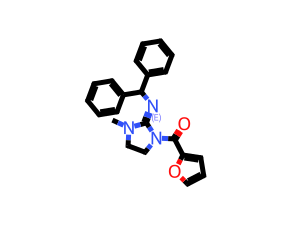 CN1CCN(C(=O)c2ccco2)/C1=N/C(c1ccccc1)c1ccccc1